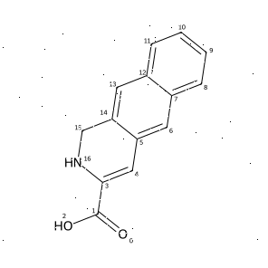 O=C(O)C1=Cc2cc3ccccc3cc2CN1